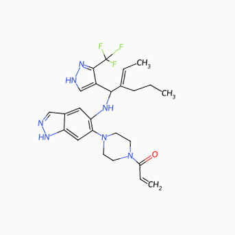 C=CC(=O)N1CCN(c2cc3[nH]ncc3cc2NC(/C(=C/C)CCC)c2c[nH]nc2C(F)(F)F)CC1